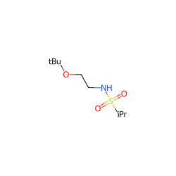 CC(C)S(=O)(=O)NCCOC(C)(C)C